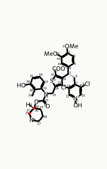 COc1ccc([C@H](Cc2c(Cl)c[n+](O)cc2Cl)c2cc(CN(C(=O)O[C@H]3CN4CCC3CC4)c3cccc(O)c3C)sc2C(=O)[O-])cc1OC